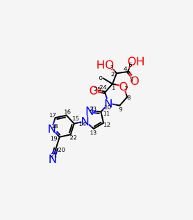 CC1(C(O)C(=O)O)OCCN(c2ccn(-c3ccnc(C#N)c3)n2)C1=O